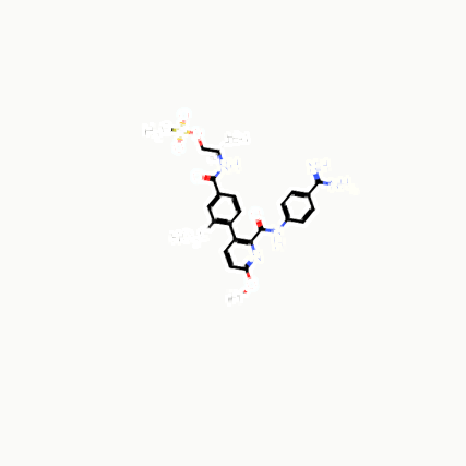 CC(C)Oc1ccc(-c2ccc(C(=O)N[C@H](COS(C)(=O)=O)C(C)(C)C)cc2C(=O)O)c(C(=O)Nc2ccc(C(=N)N)cc2)n1